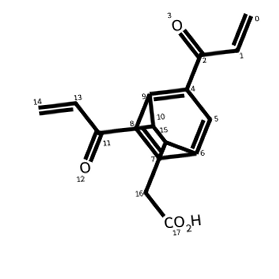 C=CC(=O)c1cc2ccc1C(C(=O)C=C)C2CC(=O)O